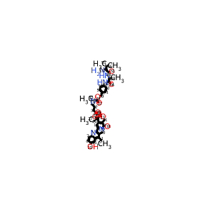 CCc1c2c(nc3ccc(O)cc13)-c1cc3c(c(=O)n1C2)COC(=O)[C@@]3(CC)OC(=O)CCCN(C)C(=O)OCc1ccc(NC(=O)[C@H](C)NC(=O)[C@@H](N)C(C)C)cc1